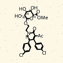 COC(=O)[C@H]1O[C@@H](OCCn2nc(-c3ccc(Cl)cc3)c(-c3ccc(Cl)cc3)c(C(C)=O)c2=O)[C@H](O)[C@@H](O)[C@@H]1O